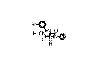 Cn1c(-c2cccc(Br)c2)nc(C(=O)Nc2cnoc2)c(O)c1=O